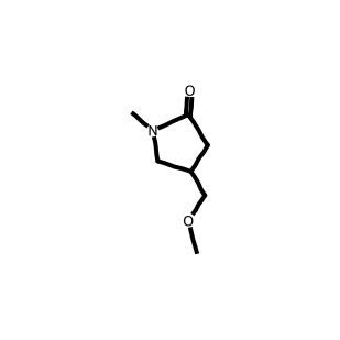 COCC1CC(=O)N(C)C1